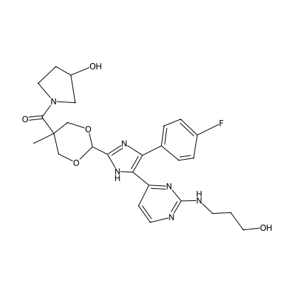 CC1(C(=O)N2CCC(O)C2)COC(c2nc(-c3ccc(F)cc3)c(-c3ccnc(NCCCO)n3)[nH]2)OC1